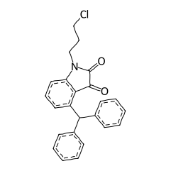 O=C1C(=O)N(CCCCl)c2cccc(C(c3ccccc3)c3ccccc3)c21